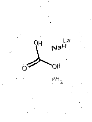 O=C(O)O.P.[La].[NaH]